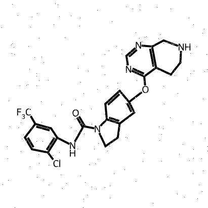 O=C(Nc1cc(C(F)(F)F)ccc1Cl)N1CCc2cc(Oc3ncnc4c3CCNC4)ccc21